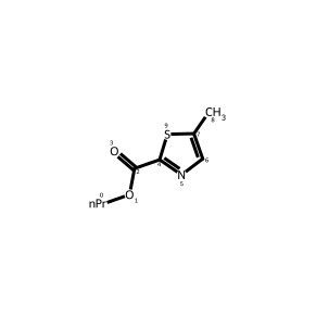 CCCOC(=O)c1ncc(C)s1